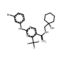 C=C(NCC1(O)CCCCC1)c1cnc(Nc2cccc(Br)c2)nc1C(F)(F)F